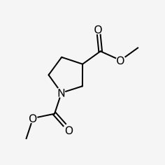 COC(=O)C1CCN(C(=O)OC)C1